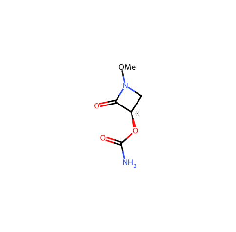 CON1C[C@@H](OC(N)=O)C1=O